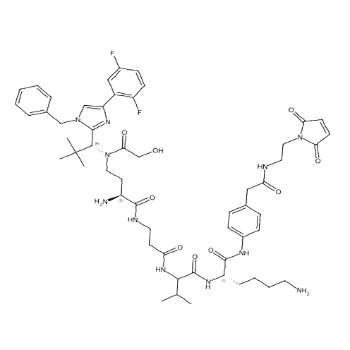 CC(C)C(NC(=O)CCNC(=O)[C@@H](N)CCN(C(=O)CO)[C@@H](c1nc(-c2cc(F)ccc2F)cn1Cc1ccccc1)C(C)(C)C)C(=O)N[C@@H](CCCCN)C(=O)Nc1ccc(CC(=O)NCCN2C(=O)C=CC2=O)cc1